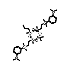 CCC[Si]1(C)O[Si](C)(CC[Si](C)(C)c2cccc(N(C)C)c2)O[Si](C)(C)O[Si](C)(CC[Si](C)(C)c2cccc(N(C)C)c2)O1